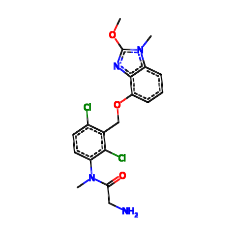 COc1nc2c(OCc3c(Cl)ccc(N(C)C(=O)CN)c3Cl)cccc2n1C